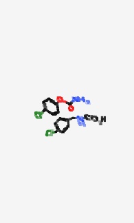 NC(=O)Oc1ccc(Cl)cc1.O=C(O)NCc1ccc(Cl)cc1